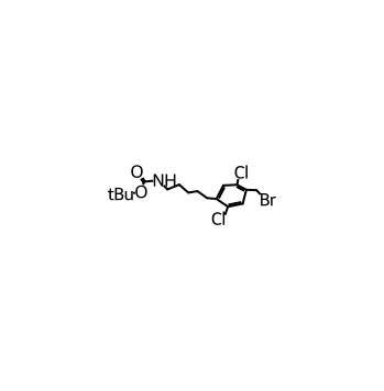 CC(C)(C)OC(=O)NCCCCCc1cc(Cl)c(CBr)cc1Cl